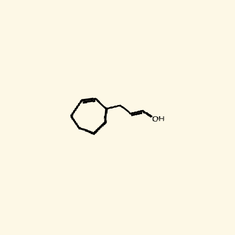 O/C=C/CC1C=CCCCC1